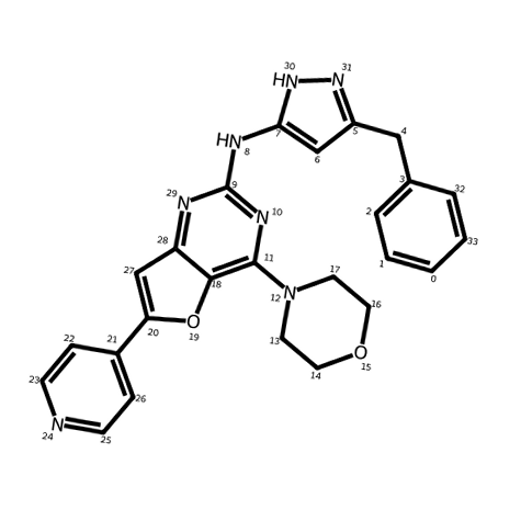 c1ccc(Cc2cc(Nc3nc(N4CCOCC4)c4oc(-c5ccncc5)cc4n3)[nH]n2)cc1